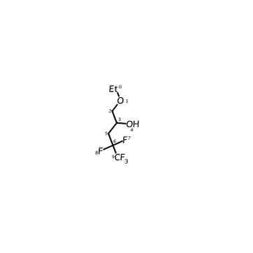 CCOCC(O)CC(F)(F)C(F)(F)F